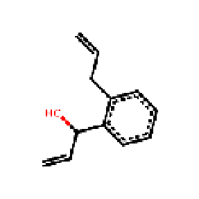 C=CCc1ccccc1[C](O)C=C